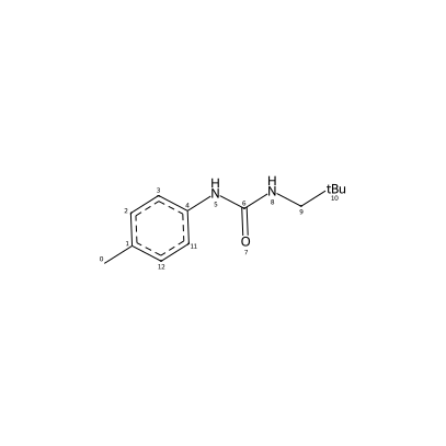 Cc1ccc(NC(=O)NCC(C)(C)C)cc1